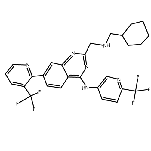 FC(F)(F)c1ccc(Nc2nc(CNCC3CCCCC3)nc3cc(-c4ncccc4C(F)(F)F)ccc23)cn1